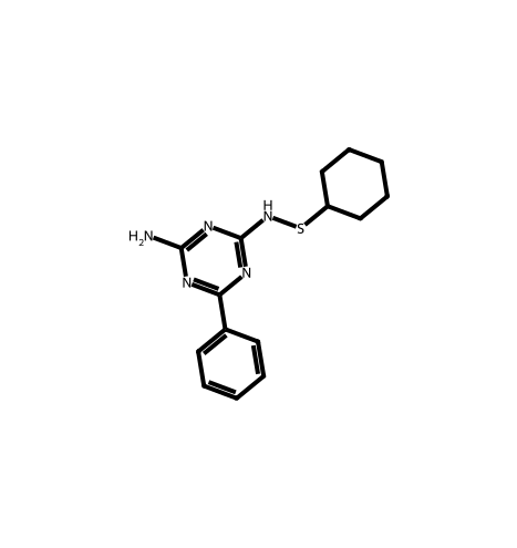 Nc1nc(NSC2CCCCC2)nc(-c2ccccc2)n1